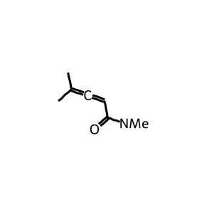 CNC(=O)C=C=C(C)C